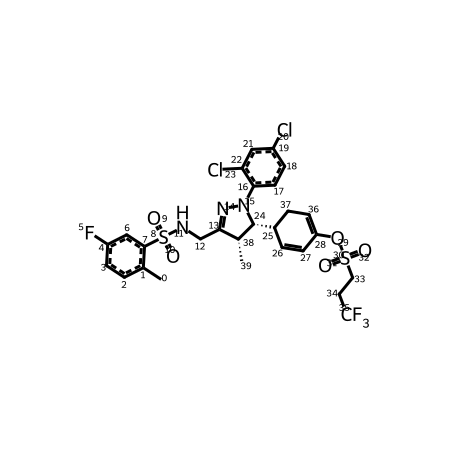 Cc1ccc(F)cc1S(=O)(=O)NCC1=NN(c2ccc(Cl)cc2Cl)[C@H](C2C=CC(OS(=O)(=O)CCC(F)(F)F)=CC2)[C@@H]1C